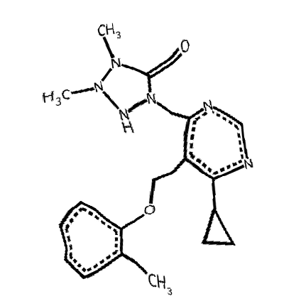 Cc1ccccc1OCc1c(C2CC2)ncnc1N1NN(C)N(C)C1=O